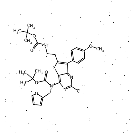 COc1ccc(-c2c(CCNC(=O)OC(C)(C)C)sc3c(N(Cc4ccco4)C(=O)OC(C)(C)C)nc(Cl)nc23)cc1